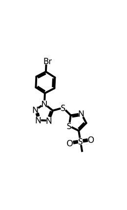 CS(=O)(=O)c1cnc(Sc2nnnn2-c2ccc(Br)cc2)s1